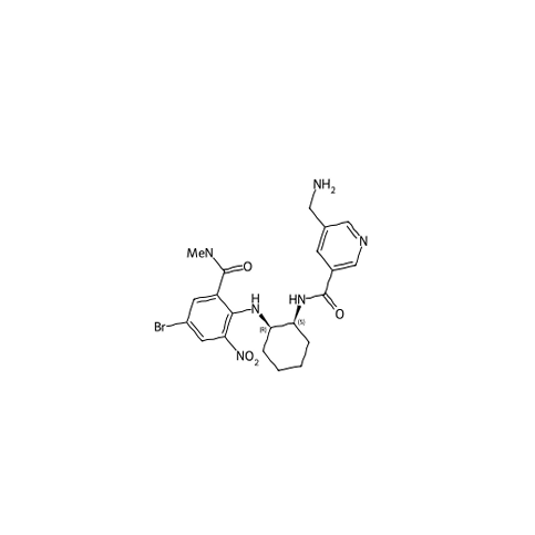 CNC(=O)c1cc(Br)cc([N+](=O)[O-])c1N[C@@H]1CCCC[C@@H]1NC(=O)c1cncc(CN)c1